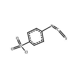 O=S(=O)(Cl)c1ccc(N=C=S)cc1